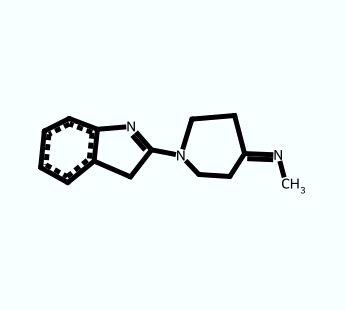 CN=C1CCN(C2=Nc3ccccc3C2)CC1